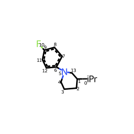 CC(C)C1CCCN(c2ccc(F)cc2)C1